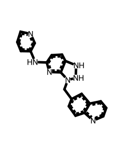 c1cncc(Nc2ccc3c(n2)N(Cc2ccc4ncccc4c2)NN3)c1